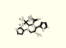 C[C@H](CO[C@H]1CCOC1)[C@@H](c1ccco1)N(CC(C)(C)C)C(=O)O